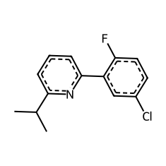 CC(C)c1cccc(-c2cc(Cl)ccc2F)n1